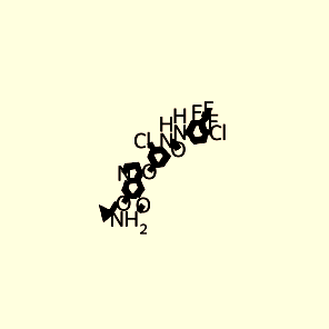 COc1cc2c(Oc3ccc(NC(=O)Nc4ccc(Cl)c(C(F)(F)F)c4)c(Cl)c3)ccnc2cc1OCC1(N)CC1